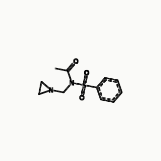 CC(=O)N(CN1CC1)S(=O)(=O)c1ccccc1